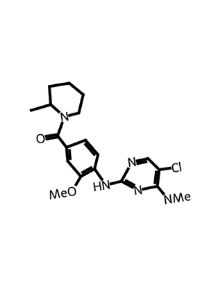 CNc1nc(Nc2ccc(C(=O)N3CCCCC3C)cc2OC)ncc1Cl